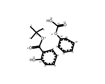 CC(C)(C)OC(=O)c1ccccc1O.O=C(O)Oc1ccccc1